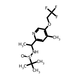 Cc1cc(C(C)N[S@+]([O-])C(C)(C)C)ncc1OCC(F)(F)F